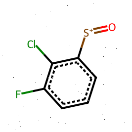 O=[S+]c1cccc(F)c1Cl